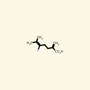 C=C(CCC(I)=C(C)C)C(=O)O